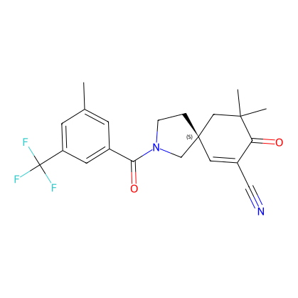 Cc1cc(C(=O)N2CC[C@@]3(C=C(C#N)C(=O)C(C)(C)C3)C2)cc(C(F)(F)F)c1